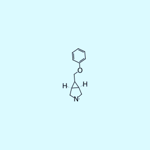 c1ccc(OCC2[C@H]3C[N]C[C@@H]23)cc1